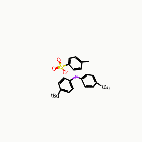 CC(C)(C)c1ccc([I+]c2ccc(C(C)(C)C)cc2)cc1.Cc1ccc(S(=O)(=O)[O-])cc1